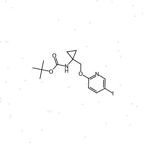 CC(C)(C)OC(=O)NC1(COc2ccc(I)cn2)CC1